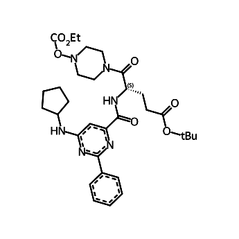 CCOC(=O)ON1CCN(C(=O)[C@H](CCC(=O)OC(C)(C)C)NC(=O)c2cc(NC3CCCC3)nc(-c3ccccc3)n2)CC1